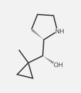 CC1([C@@H](O)[C@@H]2CCCN2)CC1